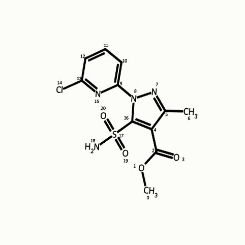 COC(=O)c1c(C)nn(-c2cccc(Cl)n2)c1S(N)(=O)=O